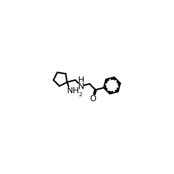 NC1(CNCC(=O)c2ccccc2)CCCC1